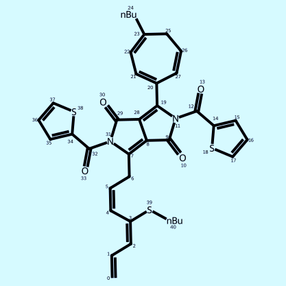 C=C/C=C(\C=C/CC1=C2C(=O)N(C(=O)c3cccs3)C(C3=CC=C(CCCC)CC=C3)=C2C(=O)N1C(=O)c1cccs1)SCCCC